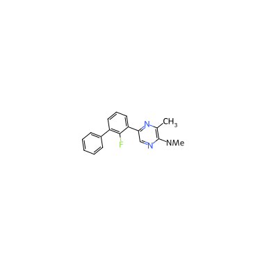 CNc1ncc(-c2cccc(-c3ccccc3)c2F)nc1C